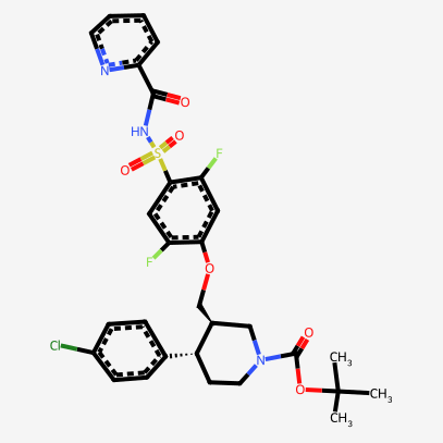 CC(C)(C)OC(=O)N1CC[C@H](c2ccc(Cl)cc2)[C@@H](COc2cc(F)c(S(=O)(=O)NC(=O)c3ccccn3)cc2F)C1